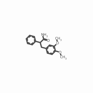 COc1ccc(CC(C(N)=O)c2ccccc2)cc1OC